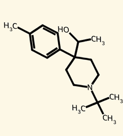 Cc1ccc(C2(C(C)O)CCN(C(C)(C)C)CC2)cc1